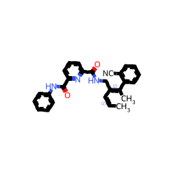 C/C=C\C(CNC(=O)c1cccc(C(=O)Nc2ccccc2)n1)=C(/C)c1ccccc1C#N